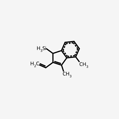 C=CC1=C(C)c2c(C)cccc2C1[SiH3]